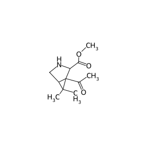 COC(=O)C1NCC2C(C)(C)C12C(C)=O